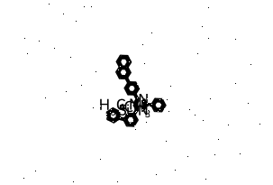 C[Si]1(C)c2ccccc2-c2cccc(-c3nc(-c4ccccc4)nc(-c4ccc(-c5ccc6ccccc6c5)cc4)n3)c21